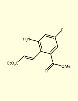 CCOC(=O)C=Cc1c(N)cc(F)cc1C(=O)OC